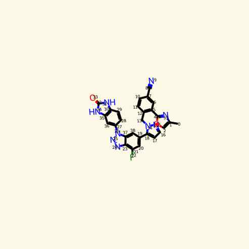 Cc1coc(-c2cc(C#N)ccc2Cn2nccc2-c2cc(F)c3nnn(-c4ccc5[nH]c(=O)[nH]c5c4)c3c2)n1